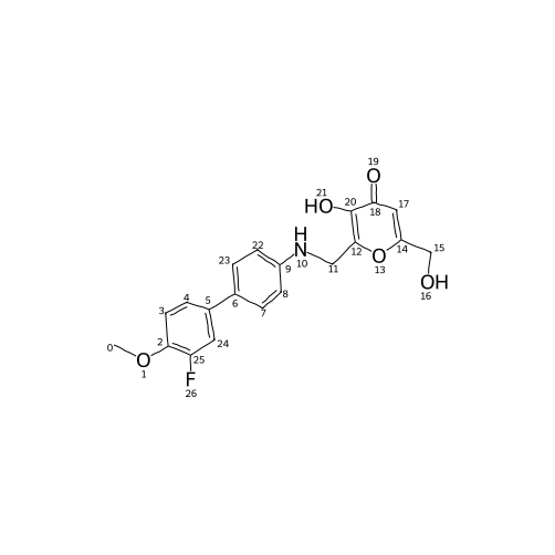 COc1ccc(-c2ccc(NCc3oc(CO)cc(=O)c3O)cc2)cc1F